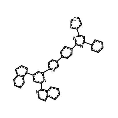 c1ccc(-c2cc(-c3ccccc3)nc(-c3ccc(-c4ccc(-c5cc(-c6cccc7ccccc67)cc(-c6nccc7ccccc67)n5)nc4)cc3)n2)cc1